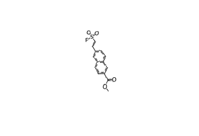 COC(=O)c1ccc2cc(/C=C/S(=O)(=O)F)ccc2c1